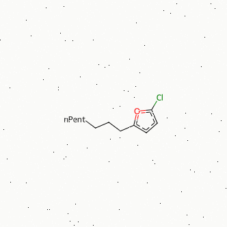 CCCCCCCCc1ccc(Cl)o1